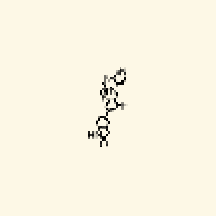 O=C1Cc2cc(-c3cc(F)c(Cn4c(=O)cnc5cnccc54)c(F)c3)ccc2N1